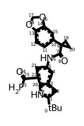 CC(C)(C)c1cc2cc(NC(=O)C3(c4ccc5c(c4)OCO5)CC3)cc(C(=O)P)c2[nH]1